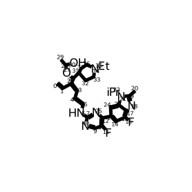 C=C/C(=C\C=C\Nc1ncc(F)c(-c2cc(F)c3nc(C)n(C(C)C)c3c2)n1)C(OC(C)O)C1CCN(CC)CC1